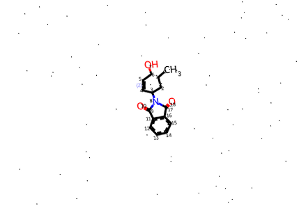 CCCC(/C=C\CO)N1C(=O)c2ccccc2C1=O